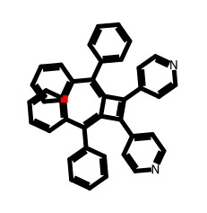 c1ccc(C(=C2C(=C(c3ccccc3)c3ccccc3)C(c3ccncc3)=C2c2ccncc2)c2ccccc2)cc1